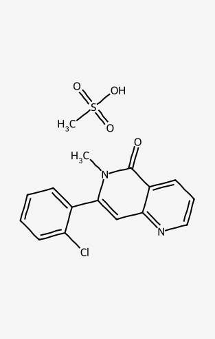 CS(=O)(=O)O.Cn1c(-c2ccccc2Cl)cc2ncccc2c1=O